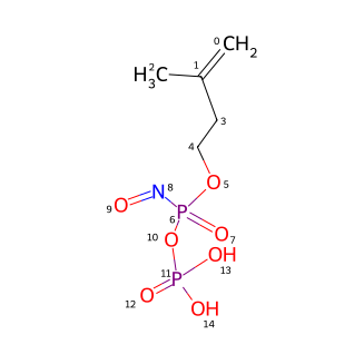 C=C(C)CCOP(=O)(N=O)OP(=O)(O)O